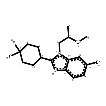 CO[C@H](C)Cn1c(C2CCC(F)(F)CC2)nc2ccc(Br)cc21